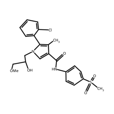 COCC(O)Cn1cc(C(=O)Nc2ccc(S(C)(=O)=O)cc2)c(C)c1-c1ccccc1Cl